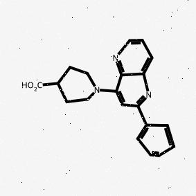 O=C(O)C1CCN(c2cc(-c3ccccc3)nc3cccnc23)CC1